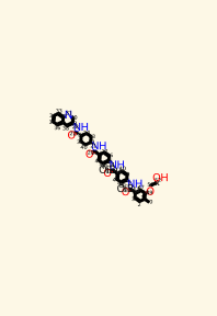 Cc1ccc(C(=O)Nc2ccc(C(=O)Nc3ccc(C(=O)N[C@H]4CC[C@H](C(=O)Nc5cnc6ccccc6c5)CC4)cc3OCC(C)C)cc2OCC(C)C)cc1OCCO